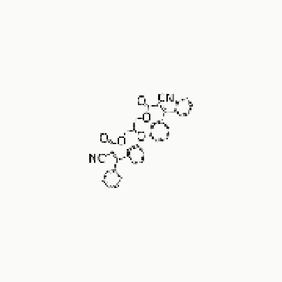 N#CC(C(=O)OCC(=O)COC(=O)C(C#N)=C(c1ccccc1)c1ccccc1)=C(c1ccccc1)c1ccccc1